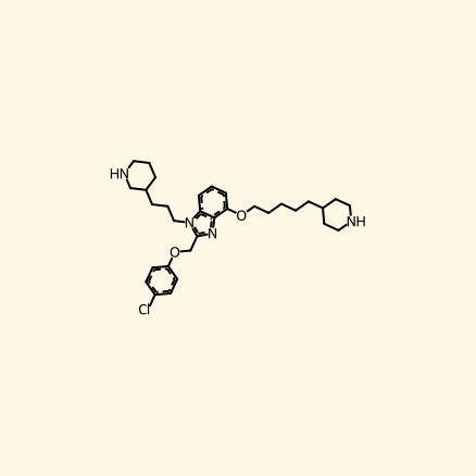 Clc1ccc(OCc2nc3c(OCCCCCC4CCNCC4)cccc3n2CCCC2CCCNC2)cc1